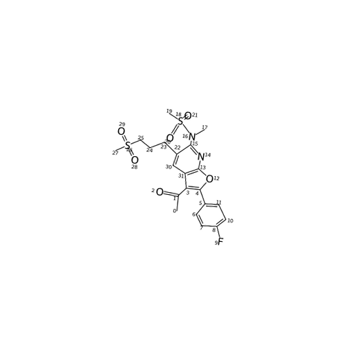 CC(=O)c1c(-c2ccc(F)cc2)oc2nc(N(C)S(C)(=O)=O)c(CCCS(C)(=O)=O)cc12